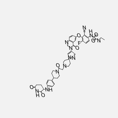 CCN(C)S(=O)(=O)Nc1ccc(F)c(Oc2ccc3ncn(-c4cnn(C5CCN(CC(=O)N6CCC(c7ccc(NC8CCC(=O)NC8=O)cc7)CC6)CC5)c4)c(=O)c3c2)c1C#N